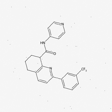 O=C(Nc1ccncc1)C1CCCc2ccc(-c3cccc(C(F)(F)F)c3)nc21